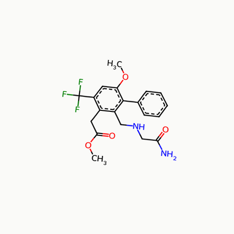 COC(=O)Cc1c(C(F)(F)F)cc(OC)c(-c2ccccc2)c1CNCC(N)=O